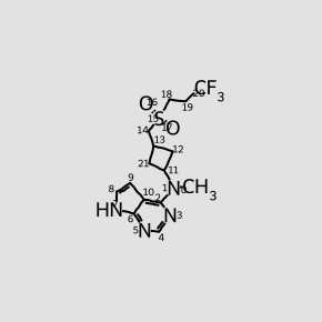 CN(c1ncnc2[nH]ccc12)C1CC(CS(=O)(=O)CCC(F)(F)F)C1